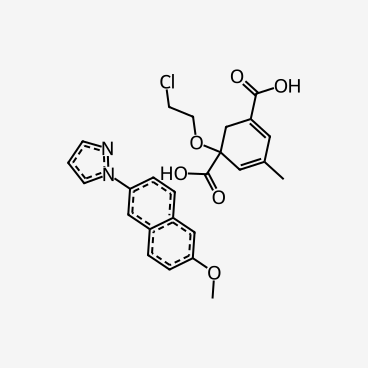 CC1=CC(OCCCl)(C(=O)O)CC(C(=O)O)=C1.COc1ccc2cc(-n3cccn3)ccc2c1